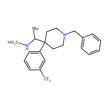 CC(C)(C)C(NC(=O)O)C1(c2cccc(C(F)(F)F)c2)CCN(Cc2ccccc2)CC1